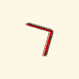 CC#N.ClC(Cl)Cl.ClC(Cl)Cl.ClC(Cl)Cl.ClC(Cl)Cl.ClC(Cl)Cl.ClC(Cl)Cl.ClC(Cl)Cl.ClC(Cl)Cl.ClC(Cl)Cl.ClC(Cl)Cl.ClC(Cl)Cl.ClC(Cl)Cl.ClC(Cl)Cl.ClC(Cl)Cl.ClC(Cl)Cl.ClC(Cl)Cl.ClC(Cl)Cl.ClC(Cl)Cl.ClC(Cl)Cl.ClC(Cl)Cl.ClC(Cl)Cl.ClC(Cl)Cl.ClC(Cl)Cl.ClC(Cl)Cl.ClC(Cl)Cl.ClC(Cl)Cl.ClC(Cl)Cl.ClC(Cl)Cl.ClC(Cl)Cl.ClC(Cl)Cl